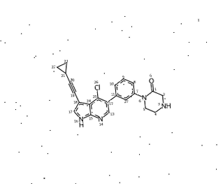 O=C1CNCCN1c1cccc(-c2cnc3[nH]cc(C#CC4CC4)c3c2Cl)c1